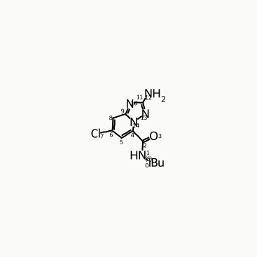 CC[C@H](C)NC(=O)c1cc(Cl)cc2nc(N)nn12